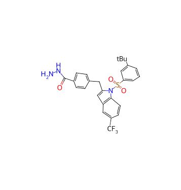 CC(C)(C)c1cccc(S(=O)(=O)n2c(Cc3ccc(C(=O)NN)cc3)cc3cc(C(F)(F)F)ccc32)c1